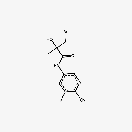 Cc1cc(NC(=O)C(C)(O)CBr)cnc1C#N